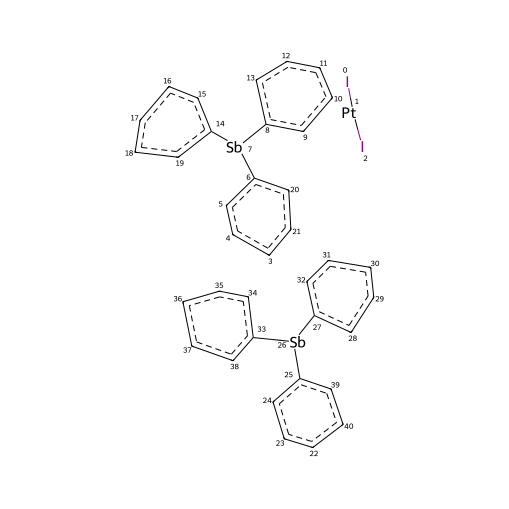 [I][Pt][I].c1cc[c]([Sb]([c]2ccccc2)[c]2ccccc2)cc1.c1cc[c]([Sb]([c]2ccccc2)[c]2ccccc2)cc1